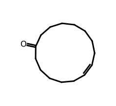 O=C1CCCCCC=CCCCCCCC1